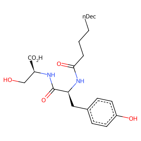 CCCCCCCCCCCCCC(=O)N[C@@H](Cc1ccc(O)cc1)C(=O)N[C@@H](CO)C(=O)O